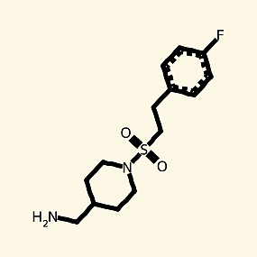 NCC1CCN(S(=O)(=O)CCc2ccc(F)cc2)CC1